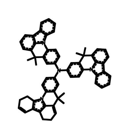 CC1(C)C2=CCCc3c4c(n(c32)-c2ccc(N(c3ccc5c(c3)C(C)(C)c3cccc6c7ccccc7n-5c36)c3ccc5c(c3)C(C)(C)c3cccc6c7ccccc7n-5c36)cc21)CCC=C4